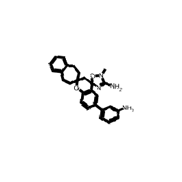 CN1OC2(CC3(CCc4ccccc4CC3)Oc3ccc(-c4cccc(N)c4)cc32)N=C1N